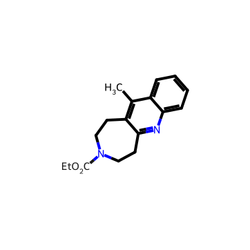 CCOC(=O)N1CCc2nc3ccccc3c(C)c2CC1